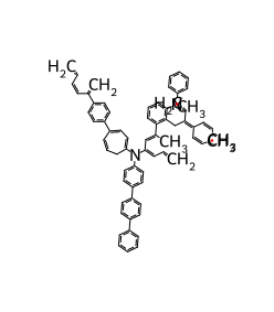 C=C/C=C\C(=C)c1ccc(C2=CC=C(N(C(/C=C(\C)c3cccc(N(C)c4ccccc4)c3CC(C=C)=C(/C=C\C)/C=C\C)=C/C=C)c3ccc(-c4ccc(-c5ccccc5)cc4)cc3)CC=C2)cc1